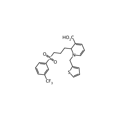 O=C(O)C1=CC=CN(Cc2cccs2)C1CCCS(=O)(=O)c1cccc(C(F)(F)F)c1